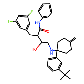 C=C1CCC(NCC(O)C(Cc2cc(F)cc(F)c2)C(=O)Nc2ccccc2)(c2cccc(C(C)(C)C)c2)CC1